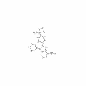 COc1cccn2c(-c3ccccc3)c(-c3ccc(C4(N)CCC4)cc3)nc12